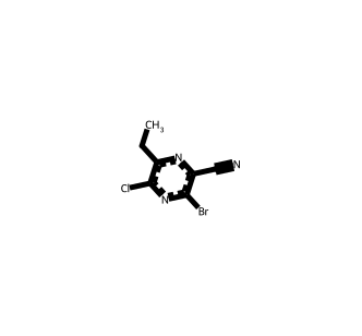 CCc1nc(C#N)c(Br)nc1Cl